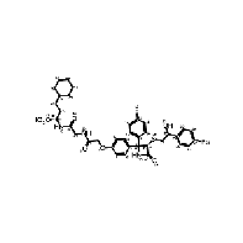 O=C(COc1ccc([C@]2(c3ccc(F)cc3)NC(=O)[C@@H]2SCC(O)c2ccc(F)cc2)cc1)NCC(=O)N[C@H](CCC1CCCCC1)C(=O)O